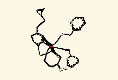 COC1CCC2(CC1)Cc1ccc(CCC3CC3)cc1C21N=C(SCc2ccccn2)N(Cc2ccccn2)C1=O